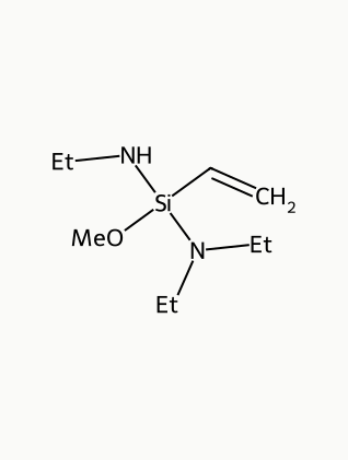 C=C[Si](NCC)(OC)N(CC)CC